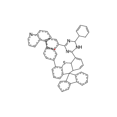 C1=CCC(C2N=C(c3ccccc3)N=C(C3=CC=CC4C3Sc3c(-c5ccc(-c6cccc7ncccc67)cc5)cccc3C43c4ccccc4-c4ccccc43)N2)C=C1